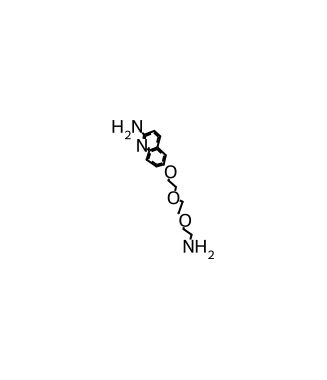 NCCOCCOCCOc1ccc2nc(N)ccc2c1